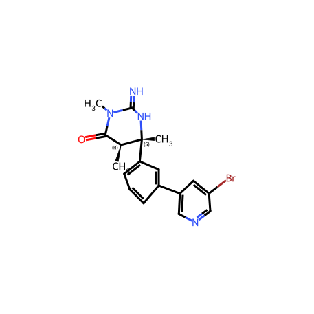 C[C@H]1C(=O)N(C)C(=N)N[C@]1(C)c1cccc(-c2cncc(Br)c2)c1